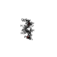 CCCC[C@@H](C(=O)N1CCC[C@@H]1C(=O)N[C@H](C=O)CO)N(C)C(=O)[C@H](Cc1ccccc1)N(C)C(=O)[C@H](Cc1cc(F)c(F)c(F)c1)NC(=O)CSC[C@H](NC(=O)[C@H](CC(C)C)NC(=O)[C@H](Cc1ccc(O)cc1)NC(=O)C(Cc1c[nH]c2ccccc12)NC(=O)[C@H]1CSCN1C(=O)[C@H](Cc1ccc(O)cc1)NCC(=O)[C@H](Cc1ccccc1)N(C)C(=O)[C@@H](N)C(C)C)C(=O)NCC(N)=O